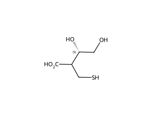 O=C(O)C(CS)[C@H](O)CO